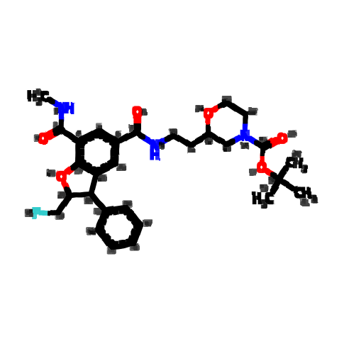 CNC(=O)c1cc(C(=O)NCCC2CN(C(=O)OC(C)(C)C)CCO2)cc2c1OC(CF)C2c1ccccc1